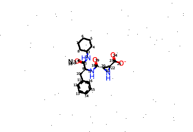 O=C(NC1CCCCC1)[C@H](Cc1ccccc1)NC(=O)[C@H]1N[C@@H]1C(=O)[O-].[Na+]